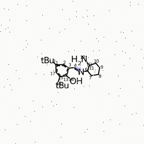 CC(C)(C)c1cc(/C=N/C2CCCC[C@@H]2N)c(O)c(C(C)(C)C)c1